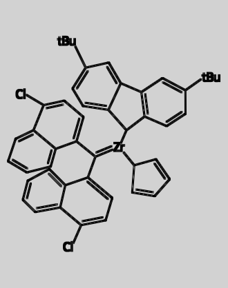 CC(C)(C)c1ccc2c(c1)-c1cc(C(C)(C)C)ccc1[CH]2[Zr](=[C](c1ccc(Cl)c2ccccc12)c1ccc(Cl)c2ccccc12)[CH]1C=CC=C1